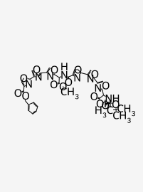 COC(=O)C(NC(=O)c1coc(-c2coc(-c3coc(C(NC(=O)OC(C)(C)C)C(=O)O)n3)n2)n1)c1nc(-c2nc(-c3nc(C(=O)OCc4ccccc4)co3)co2)co1